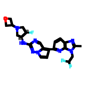 Cc1nc2ccc(-c3ccn4nc(N[C@@H]5CN(C6COC6)C[C@H]5F)ncc34)nc2n1CC(F)F